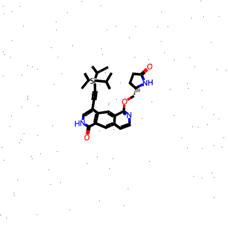 CC(C)[Si](C#Cc1c[nH]c(=O)c2cc3ccnc(OC[C@@H]4CCC(=O)N4)c3cc12)(C(C)C)C(C)C